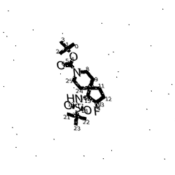 CC(C)(C)OC(=O)N1CCC2(CC[C@@H](F)[C@@H]2NS(=O)(=O)C(C)(C)C)CC1